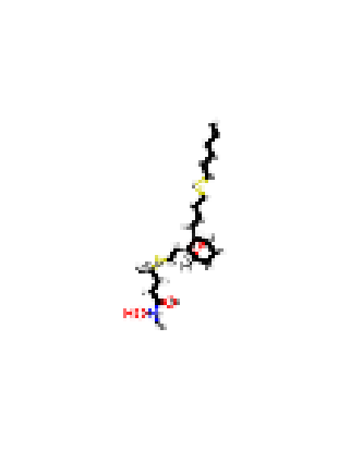 CCCCCCSCCCC[C@H]1C2CC[C@H](O2)[C@H]1CCS[C@H](C)CCC(=O)N(C)O